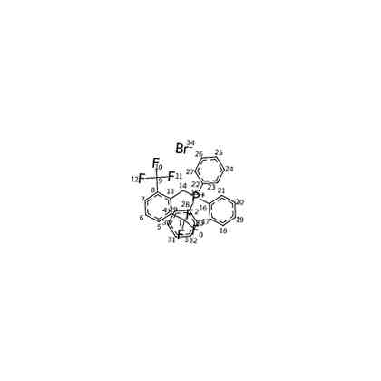 FC(F)(F)c1cccc(C(F)(F)F)c1C[P+](c1ccccc1)(c1ccccc1)c1ccccc1.[Br-]